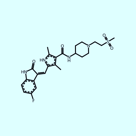 Cc1[nH]c(/C=C2\C(=O)Nc3ccc(F)cc32)c(C)c1C(=O)NC1CCN(CCS(C)(=O)=O)CC1